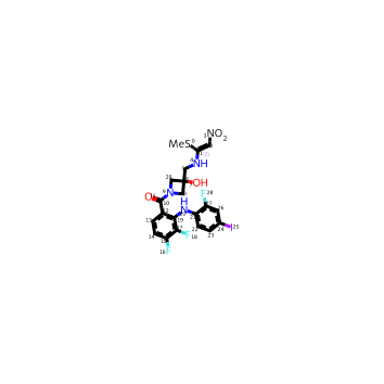 CS/C(=C\[N+](=O)[O-])NCC1(O)CN(C(=O)c2ccc(F)c(F)c2Nc2ccc(I)cc2F)C1